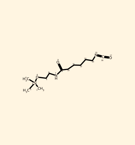 C[Si](C)(C)OCCNC(=O)CCCCCN=C=O